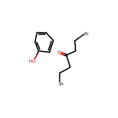 CC(C)CCC(=O)CCC(C)C.Oc1ccccc1